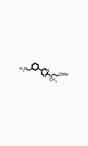 COCCN(C)c1ncc(-c2cccc(CN)c2)cn1